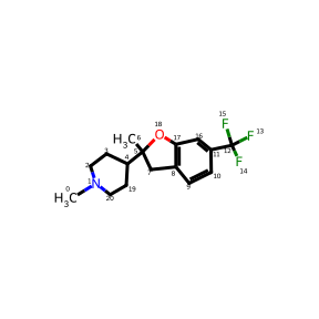 CN1CCC(C2(C)Cc3ccc(C(F)(F)F)cc3O2)CC1